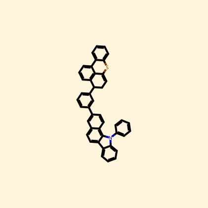 C1=C2Sc3ccccc3-c3cccc(c32)C(c2cccc(-c3ccc4c(ccc5c6ccccc6n(-c6ccccc6)c45)c3)c2)C1